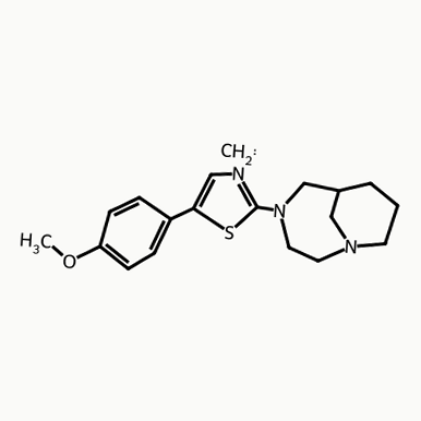 COc1ccc(-c2cnc(N3CCN4CCCC(C4)C3)s2)cc1.[CH2]